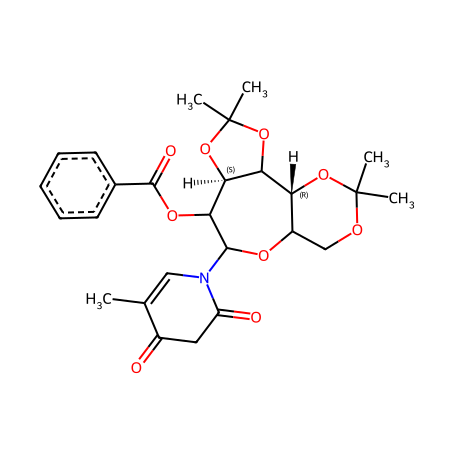 CC1=CN(C2OC3COC(C)(C)O[C@H]3C3OC(C)(C)O[C@@H]3C2OC(=O)c2ccccc2)C(=O)CC1=O